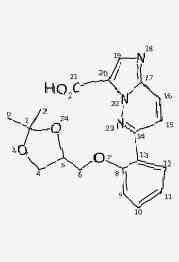 CC1(C)OCC(COc2ccccc2-c2ccc3ncc(C(=O)O)n3n2)O1